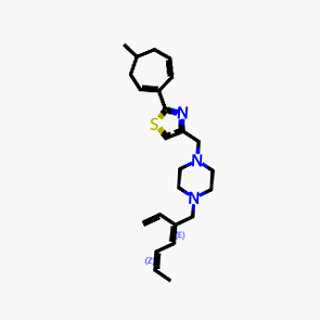 C=C/C(=C\C=C/C)CN1CCN(Cc2csc(C3=CCC(C)CC=C3)n2)CC1